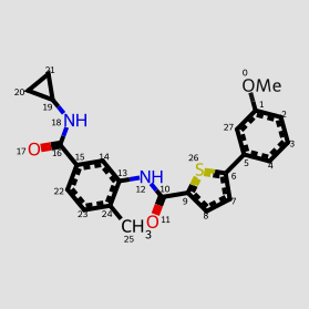 COc1cccc(-c2ccc(C(=O)Nc3cc(C(=O)NC4CC4)ccc3C)s2)c1